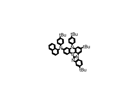 CC(C)(C)c1ccc(N2c3cc(N(c4ccc(C(C)(C)C)cc4)c4cccc5ccccc45)ccc3B3c4c2cc(C(C)(C)C)cc4-n2c3nc3cc(C(C)(C)C)ccc32)cc1